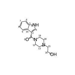 O=C(c1c[nH]c2ccccc12)N1CCN(CCO)CC1